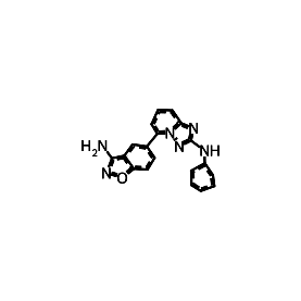 Nc1noc2ccc(-c3cccc4nc(Nc5ccccc5)nn34)cc12